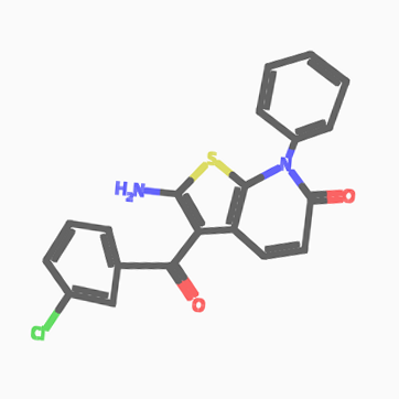 Nc1sc2c(ccc(=O)n2-c2ccccc2)c1C(=O)c1cccc(Cl)c1